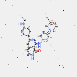 CCNc1ccc(-c2cc3cc[nH]c(=O)c3c(Nc3ccc(N4CCO[C@H](C)C4)nc3)n2)cn1